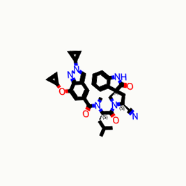 CC(C)C[C@@H](C(=O)N1C[C@]2(C[C@H]1C#N)C(=O)Nc1ccccc12)N(C)C(=O)c1cc(OC2CC2)c2nn(C3CC3)cc2c1